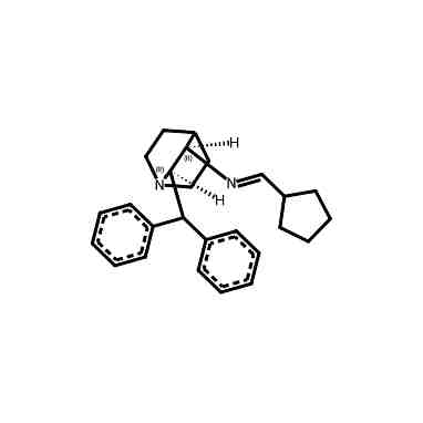 C(=N[C@@H]1C2CCN(CC2)[C@@H]1C(c1ccccc1)c1ccccc1)C1CCCC1